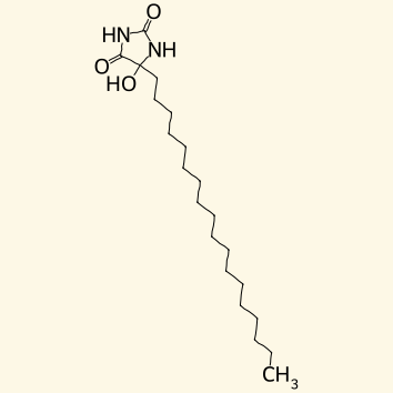 CCCCCCCCCCCCCCCCCCC1(O)NC(=O)NC1=O